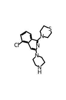 Clc1cccc2c(N3CCSCC3)nc(N3CCNCC3)cc12